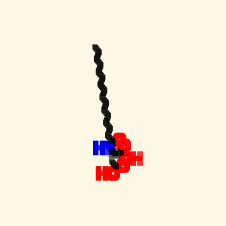 CCCCCCCCCCCCCCCC(=O)N[C@@H](CC(=O)O)C(=O)O